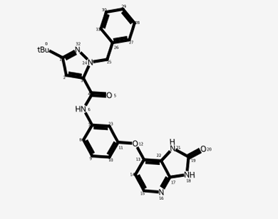 CC(C)(C)c1cc(C(=O)Nc2cccc(Oc3ccnc4[nH]c(=O)[nH]c34)c2)n(Cc2ccccc2)n1